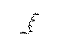 CCCCCCCC(CC)N1CC(CNCCOC)C1